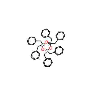 c1ccc(C[Si]2(Cc3ccccc3)O[Si](Cc3ccccc3)(Cc3ccccc3)O[Si](Cc3ccccc3)(Cc3ccccc3)O2)cc1